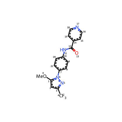 COc1cc(C(F)(F)F)nn1-c1ccc(NC(=O)c2ccncc2)cc1